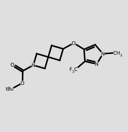 Cn1cc(OC2CC3(C2)CN(C(=O)OC(C)(C)C)C3)c(C(F)(F)F)n1